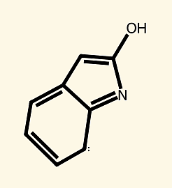 OC1=CC2=CC=C[C]C2=N1